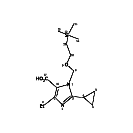 CCc1nc(C2CC2)n(COCC[Si](C)(C)C)c1C(=O)O